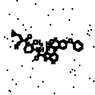 CC1=C(NC(=O)c2sc3nccc4c3c2NC(=O)N4c2ccc(Oc3ccccc3)cc2F)CCCN1C(=O)/C(C#N)=C/C1CC1